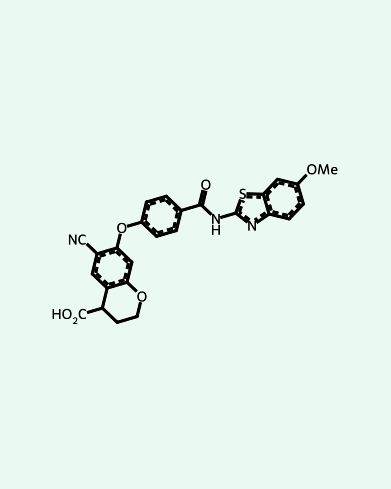 COc1ccc2nc(NC(=O)c3ccc(Oc4cc5c(cc4C#N)C(C(=O)O)CCO5)cc3)sc2c1